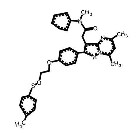 Cc1ccc(SOCCOc2ccc(-c3nn4c(C)cc(C)nc4c3CC(=O)N(C)c3ccccc3)cc2)cc1